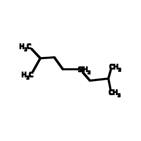 CC(C)CC[SiH2]CC(C)C